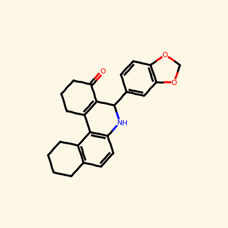 O=C1CCCC2=C1C(c1ccc3c(c1)OCO3)Nc1ccc3c(c12)CCCC3